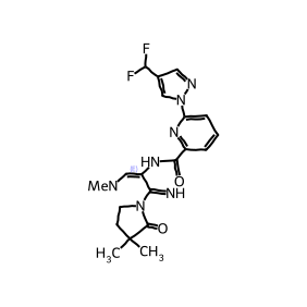 CN/C=C(/NC(=O)c1cccc(-n2cc(C(F)F)cn2)n1)C(=N)N1CCC(C)(C)C1=O